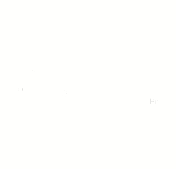 CC(=O)COc1ccc(Br)cc1